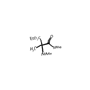 CCOC(=O)C(C)(NC)C(=O)NC